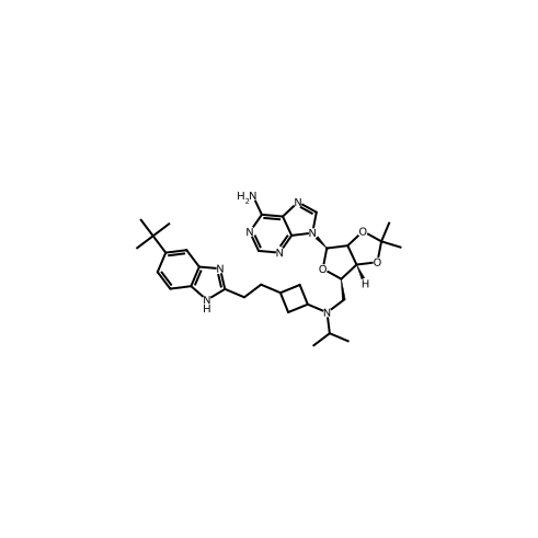 CC(C)N(C[C@H]1O[C@@H](n2cnc3c(N)ncnc32)C2OC(C)(C)O[C@@H]21)C1CC(CCc2nc3cc(C(C)(C)C)ccc3[nH]2)C1